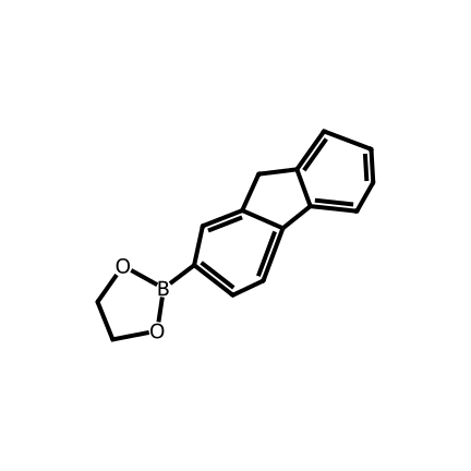 c1ccc2c(c1)Cc1cc(B3OCCO3)ccc1-2